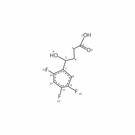 O=C(O)CCC(O)c1cc(F)c(F)cc1F